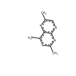 Cc1cnc2nc(C)nc(N)c2n1